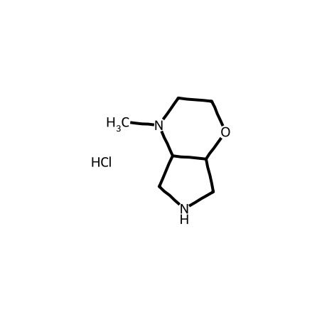 CN1CCOC2CNCC21.Cl